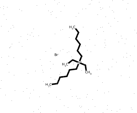 CCCCCC[N+](CC)(CC)CCCCCC.[Br-]